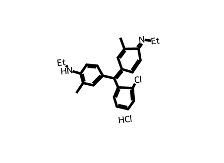 CCN=C1C=C/C(=C(/c2ccc(NCC)c(C)c2)c2ccccc2Cl)C=C1C.Cl